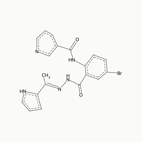 CC(=NNC(=O)c1cc(Br)ccc1NC(=O)c1cccnc1)c1ccc[nH]1